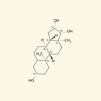 C[C@]12CC[C@H]3[C@@H](CCC4C[C@@H](O)CC[C@@]43C)[C@@H]1C[C@H](O)[C@@H]2O